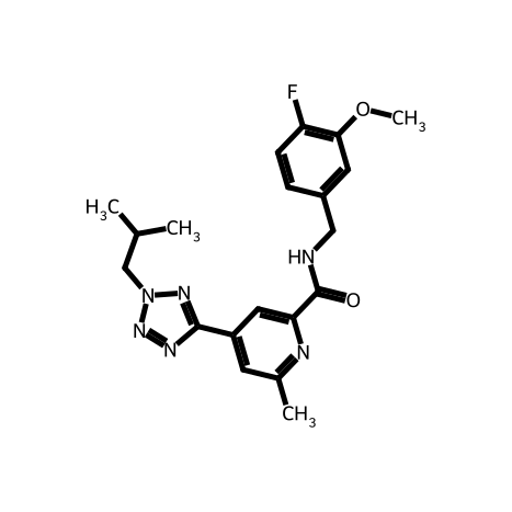 COc1cc(CNC(=O)c2cc(-c3nnn(CC(C)C)n3)cc(C)n2)ccc1F